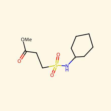 COC(=O)CCS(=O)(=O)N[C]1CCCCC1